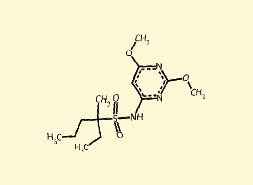 CCCC(C)(CC)S(=O)(=O)Nc1cc(OC)nc(OC)n1